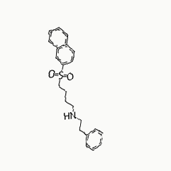 O=S(=O)(CCCCNCCc1ccccc1)c1ccc2ccccc2c1